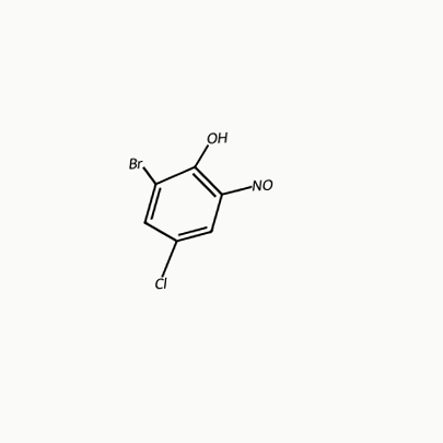 O=Nc1cc(Cl)cc(Br)c1O